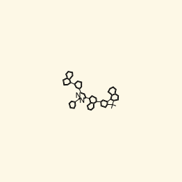 CC1(C)c2ccc(-c3ccc(-c4cc(-c5cccc(-c6cccc7ccccc67)c5)nc(-c5ccccc5)n4)c4ccccc34)cc2-c2c1ccc1ccccc21